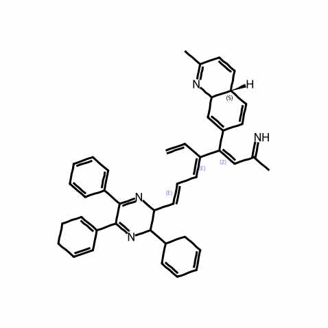 C=CC(=C\C=C\C1N=C(c2ccccc2)C(C2=CCCC=C2)=NC1C1C=CC=CC1)/C(=C/C(C)=N)C1=CC2N=C(C)C=C[C@@H]2C=C1